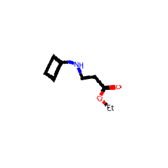 CCOC(=O)CCNC1CCC1